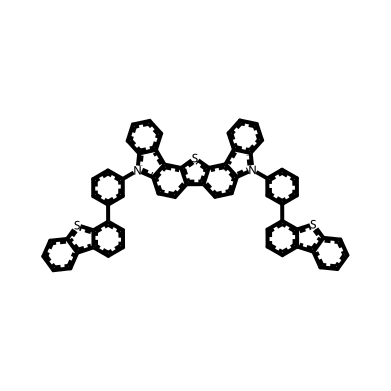 c1cc(-c2cccc3c2sc2ccccc23)cc(-n2c3ccccc3c3c4sc5c(ccc6c5c5ccccc5n6-c5cccc(-c6cccc7c6sc6ccccc67)c5)c4ccc32)c1